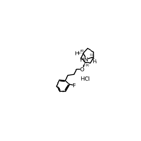 Cl.Fc1ccccc1CCCO[C@H]1C[C@H]2CC[C@@H](C1)N2